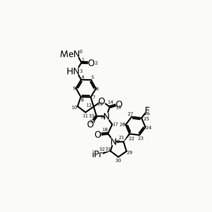 CNC(=O)Nc1ccc2c(c1)CCC21OC(=O)N(CC(=O)N2[C@@H](c3ccc(F)cc3)CC[C@H]2C(C)C)C1=O